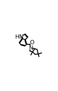 CC1(C)CC2N(C(=O)c3cccc4[nH]ccc34)CC2(C)C1